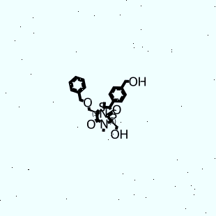 CN1C(=O)[C@]2(COCc3ccccc3)SC(c3ccc(CO)cc3)S[C@@]1(CO)C(=O)N2C